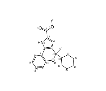 COC(=O)c1cc2c([nH]1)-c1ccncc1OC2(C)C1CCCCC1